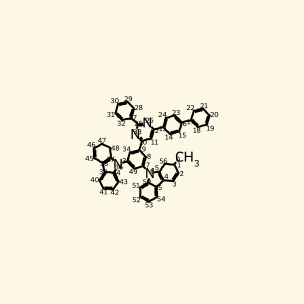 CC1C=Cc2c(n(-c3cc(-c4cc(-c5ccc(-c6ccccc6)cc5)nc(-c5ccccc5)n4)cc(-n4c5c(c6ccccc64)C=CCC5)c3)c3ccccc23)C1